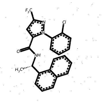 C[C@H](NC(=O)c1cc(C(F)(F)F)nn1-c1ccccc1Cl)c1cccc2ccccc12